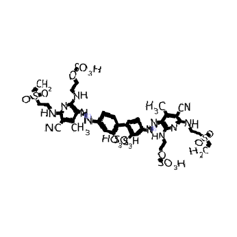 C=CS(=O)(=O)CCNc1nc(NCCOS(=O)(=O)O)c(/N=N/c2ccc(-c3ccc(/N=N/c4c(NCCOS(=O)(=O)O)nc(NCCS(=O)(=O)C=C)c(C#N)c4C)cc3S(=O)(=O)O)c(S(=O)(=O)O)c2)c(C)c1C#N